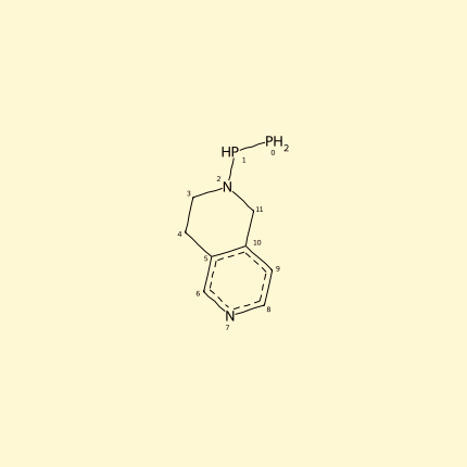 PPN1CCc2cnccc2C1